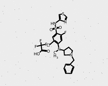 CN(c1cc(F)c(S(=O)(=O)Nc2cscn2)cc1Cl)C1CCN(Cc2ccccc2)C1.O=C(O)C(F)(F)F